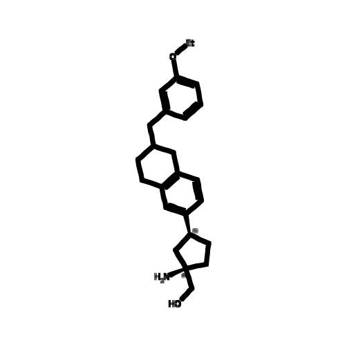 CCOc1cccc(CC2CCc3cc([C@H]4CC[C@](N)(CO)C4)ccc3C2)c1